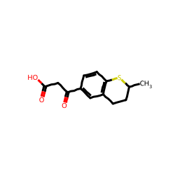 CC1CCc2cc(C(=O)CC(=O)O)ccc2S1